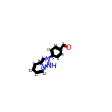 O=Cc1ccc(N2C=C3C=CC=CN3N2)cc1